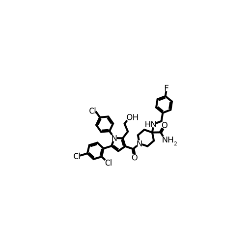 NC(=O)C1(NCc2ccc(F)cc2)CCN(C(=O)c2cc(-c3ccc(Cl)cc3Cl)n(-c3ccc(Cl)cc3)c2CCO)CC1